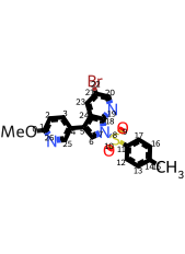 COc1ccc(-c2cn(S(=O)(=O)c3ccc(C)cc3)c3ncc(Br)cc23)cn1